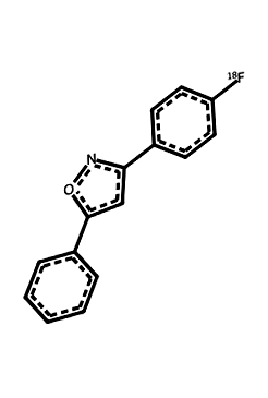 [18F]c1ccc(-c2cc(-c3ccccc3)on2)cc1